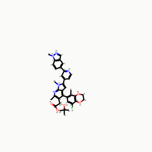 Cc1nc2c(cc(-c3ccnc(-c4ccc5c(cnn5C)c4)c3)n2C)c(-c2cc(F)c3c(c2C)OCCO3)c1[C@H](OC(C)(C)C)C(=O)O